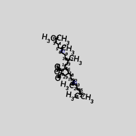 CC(C)=CCC/C(C)=C/CCC(C)CCC1CC(CC/C=C(\C)CCC=C(C)C)CC2C(=O)OC(=O)C12